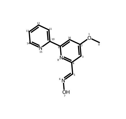 COc1cc(C=NO)nc(-c2ccccn2)c1